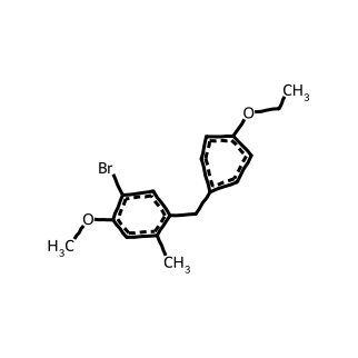 CCOc1ccc(Cc2cc(Br)c(OC)cc2C)cc1